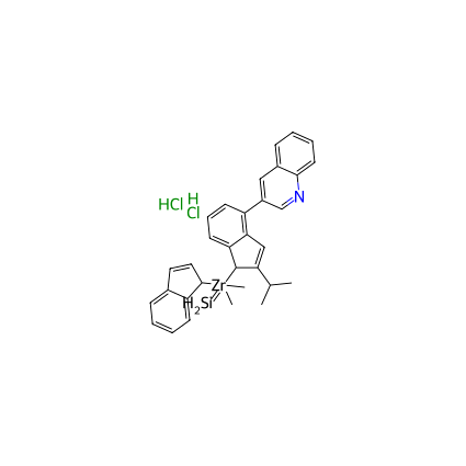 CC(C)C1=Cc2c(-c3cnc4ccccc4c3)cccc2[CH]1[Zr]([CH3])([CH3])(=[SiH2])[CH]1C=Cc2ccccc21.Cl.Cl